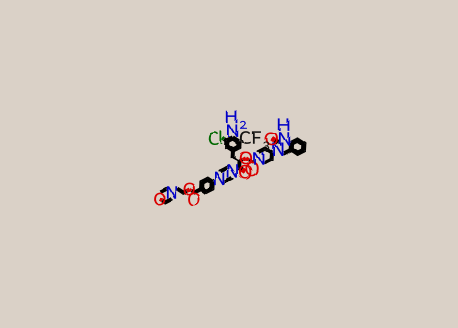 Nc1c(Cl)cc(C[C@@H](OC(=O)N2CCC(N3Cc4ccccc4NC3=O)CC2)C(=O)N2CCN(c3ccc(C(=O)OCCN4CCOCC4)cc3)CC2)cc1C(F)(F)F